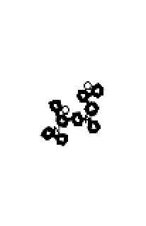 C1=Cc2c(n(-c3cc(-c4ccc(N(c5ccccc5)c5cccc(-c6cccc7oc8ccccc8c67)c5)cc4)c4oc5ccccc5c4c3)c3ccccc23)CC1